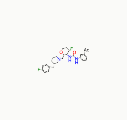 CC(=O)c1cccc(NC(=O)N[C@@H]2[C@H](F)CCO[C@@H]2CN2CCC[C@@H](Cc3ccc(F)cc3)C2)c1